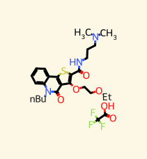 CCCCn1c(=O)c2c(OCCOCC)c(C(=O)NCCCN(C)C)sc2c2ccccc21.O=C(O)C(F)(F)F